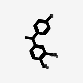 CC(c1ccc(Cl)cc1)c1ccc(N)c([N+](=O)[O-])c1